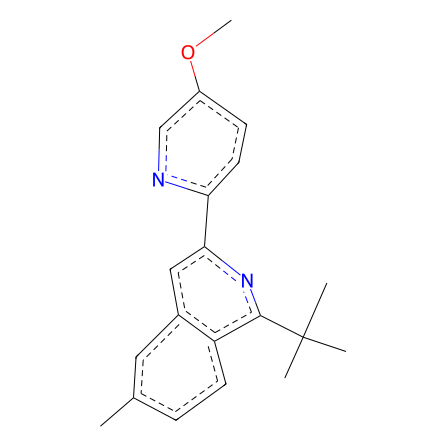 COc1ccc(-c2cc3cc(C)ccc3c(C(C)(C)C)n2)nc1